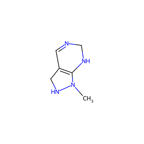 CN1NCC2=C1NCN=C2